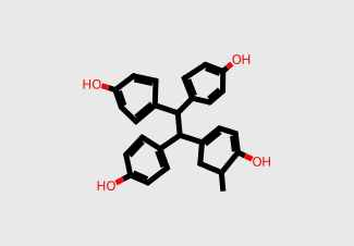 CC1CC(C(c2ccc(O)cc2)C(c2ccc(O)cc2)c2ccc(O)cc2)=CC=C1O